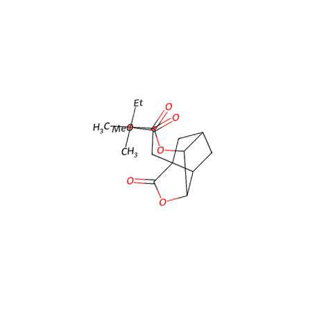 CCC(C)(C)C(=O)OC1C2CC3C1OC(=O)C3(CC(=O)OC)C2